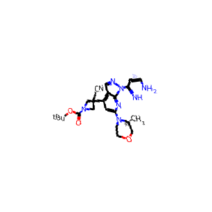 C[C@@H]1COCCN1c1cc(C2(C#N)CN(C(=O)OC(C)(C)C)C2)c2cnn(C(=N)/C=C\N)c2n1